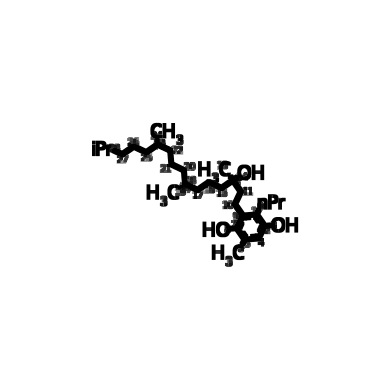 CCCc1c(O)cc(C)c(O)c1CCC(C)(O)CCC[C@H](C)CCC[C@H](C)CCCC(C)C